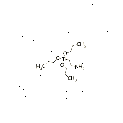 CCC[O][Ti]([CH2]CN)([O]CCC)[O]CCC